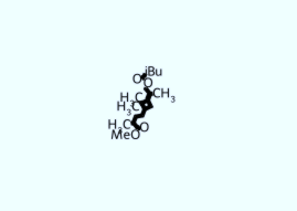 CCC(C)C(=O)OCC(C)=C1CC(CCC(C)C(=O)OC)C1(C)C